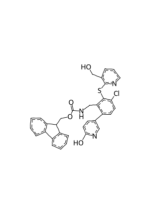 O=C(NCc1c(-c2ccc(O)nc2)ccc(Cl)c1Sc1ncccc1CO)OCC1c2ccccc2-c2ccccc21